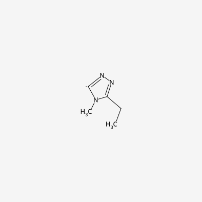 CCc1nn[c]n1C